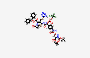 Cn1nnnc1SCC1=C(C(=O)OC(c2ccccc2)c2ccccc2)N2C(=O)C[C@@H]2SC1NC(=O)C(OC(=O)OCC(Cl)(Cl)Cl)c1ccc(NC(=O)OC[C@@H](NC(=O)OC(C)(C)C)C(=O)OC(C)(C)C)cc1